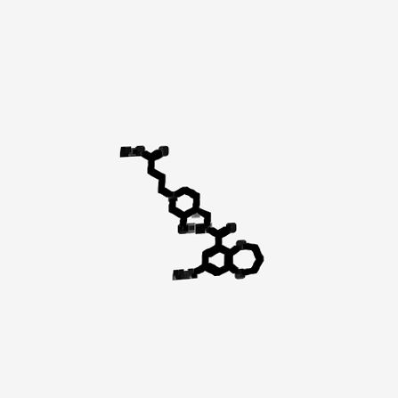 CNc1cc2c(c(C(=O)NC[C@@H]3CCN(CCCC(=O)OC)CC3O)c1)OCCCO2